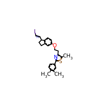 Cc1ccc(-c2nc(CCOc3ccc4c(c3)CCC4/C=C/I)c(C)s2)cc1C